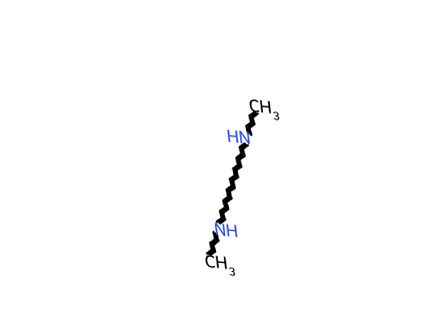 CCCCCCNCCCCCCCCCCCCCCCCNCCCCCC